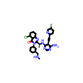 CNCc1cccc(-n2c([C@H](C)Nc3ncnc(N)c3C#Cc3ccc(F)cn3)nc3cccc(Cl)c3c2=O)c1